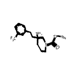 CC(C)(C)OC(=O)N1CCCC(N)(CCc2cccc(C(F)(F)F)c2)C1